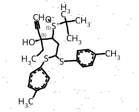 C#C[C@@](O)(CC)C(CC(Sc1ccc(C)cc1)Sc1ccc(C)cc1)[S@@+]([O-])C(C)(C)C